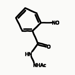 CC(=O)NNC(=O)c1ccccc1N=O